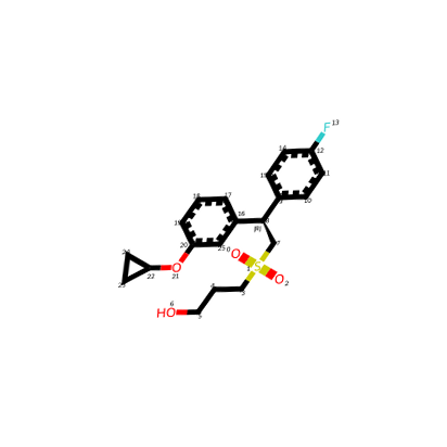 O=S(=O)(CCCO)C[C@H](c1ccc(F)cc1)c1cccc(OC2CC2)c1